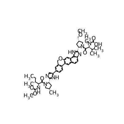 CC[C@@H](C)[C@H](NC(=O)OC)C(=O)N1C[C@@H](C)C[C@H]1c1ncc(-c2ccc3c(c2)COc2cc4c(ccc5nc([C@@H]6C[C@H](COC)CN6C(=O)[C@H](C(C)C)N(C)C(=O)O)[nH]c54)cc2-3)[nH]1